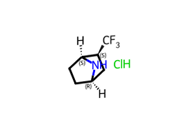 Cl.FC(F)(F)[C@H]1C[C@H]2CC[C@@H]1N2